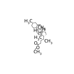 CCOC(=O)CC[C@@H](C)[C@H]1CC[C@H]2[C@@H]3CC=C4CC(C)CC[C@]4(C)[C@H]3CC[C@]12C